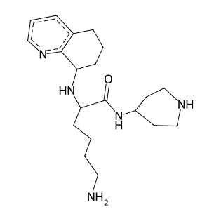 NCCCCC(NC1CCCc2cccnc21)C(=O)NC1CCNCC1